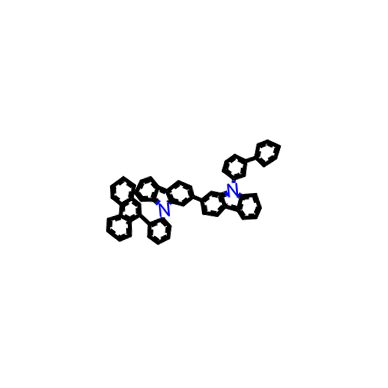 c1ccc(-c2cccc(-n3c4ccccc4c4ccc(-c5ccc6c7ccccc7n(-c7ccccc7-c7cc8ccccc8c8ccccc78)c6c5)cc43)c2)cc1